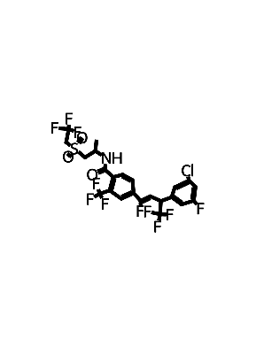 CC(CS(=O)(=O)CC(F)(F)F)NC(=O)c1ccc(/C(F)=C/C(c2cc(F)cc(Cl)c2)C(F)(F)F)cc1C(F)(F)F